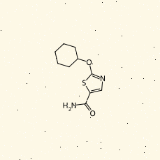 NC(=O)c1cnc(OC2CCCCC2)s1